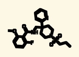 CCCS(=O)(=O)N1CCC(CNC(=O)c2c(F)cccc2OC)(c2ccccn2)CC1